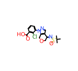 CC(C)(C)[S+]([O-])N=C1COCc2c1cnn2-c1cccc(C(=O)O)c1Cl